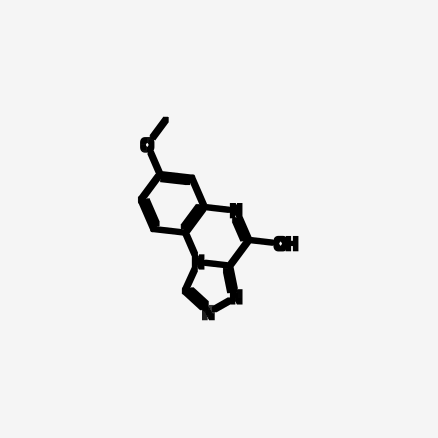 COc1ccc2c(c1)nc(O)c1nncn12